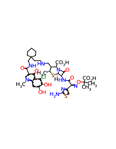 C[C@@H]1S[C@@H]2[C@H](NC(=O)/C(=N\OC(C)(C)C(=O)O)c3csc(N)n3)C(=O)N2C(C(=O)O)C1CNCCC1(CNC(=O)c2cn(C)c3cc(O)c(O)c(Cl)c3c2=O)CCCCC1